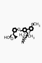 COc1ccc(F)c(-c2ccc(COc3cccc([C@@H](CC(=O)O)C4CC4)c3)cc2CC(C)(C)CN=[N+]=[N-])c1